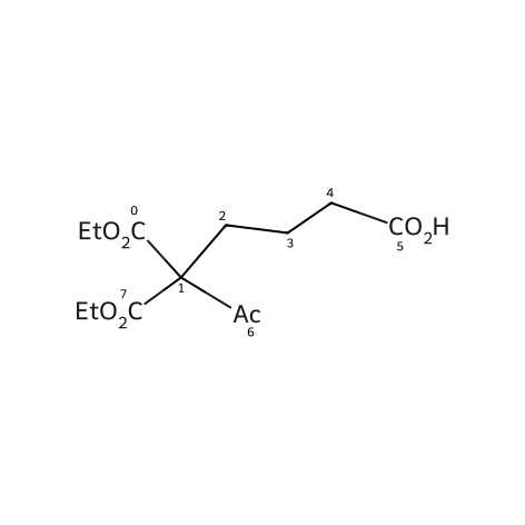 CCOC(=O)C(CCCC(=O)O)(C(C)=O)C(=O)OCC